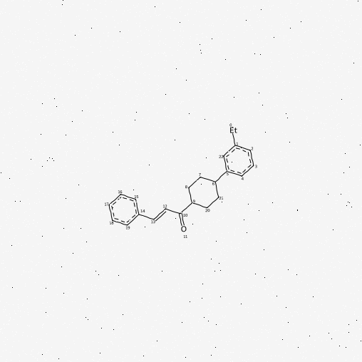 CCc1cccc(C2CCC(C(=O)/C=C/c3ccccc3)CC2)c1